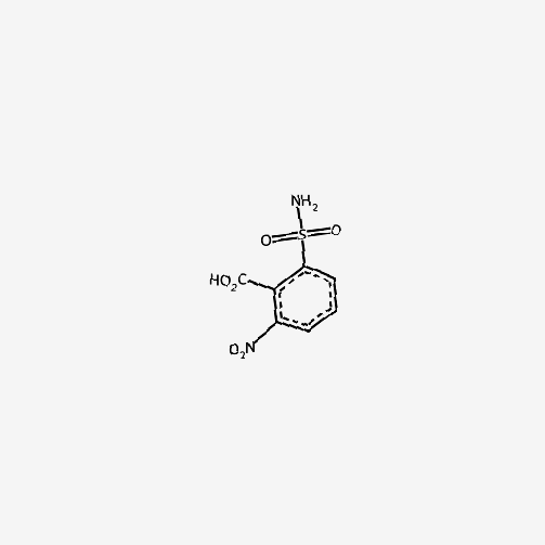 NS(=O)(=O)c1cccc([N+](=O)[O-])c1C(=O)O